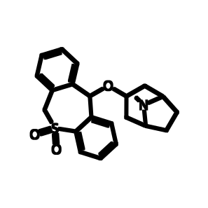 CN1C2CCC1CC(OC1c3ccccc3CS(=O)(=O)c3ccccc31)C2